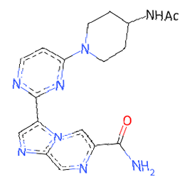 CC(=O)NC1CCN(c2ccnc(-c3cnc4cnc(C(N)=O)cn34)n2)CC1